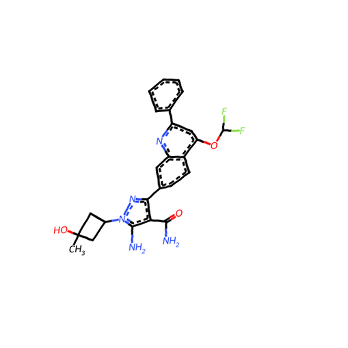 CC1(O)CC(n2nc(-c3ccc4c(OC(F)F)cc(-c5ccccc5)nc4c3)c(C(N)=O)c2N)C1